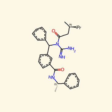 CC(C)[C@H](C)CC(=O)N(C(=N)N)C(c1ccccc1)c1cccc(C(=O)N[C@@H](C)c2ccccc2)c1